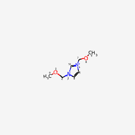 COCn1cc[n+](COC)c1